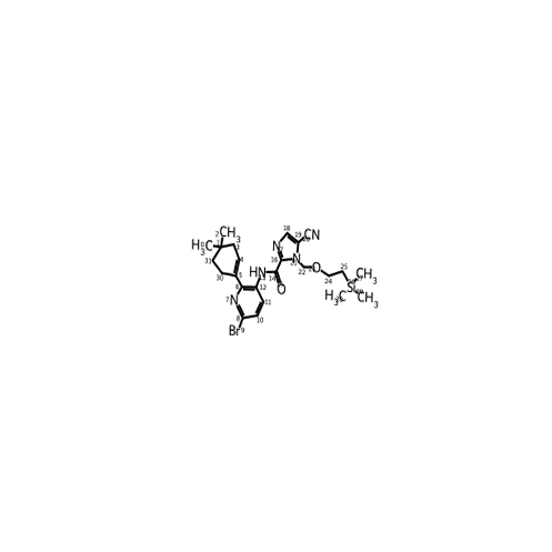 CC1(C)CC=C(c2nc(Br)ccc2NC(=O)c2ncc(C#N)n2COCC[Si](C)(C)C)CC1